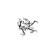 CC(C)[C@H](NC(=O)[C@H](CCCCN)NC(=O)[C@H](CCCNC(=N)N)NC(=O)[C@H](CCCCN)NC(=O)[C@@H](N)CO)C(=O)O